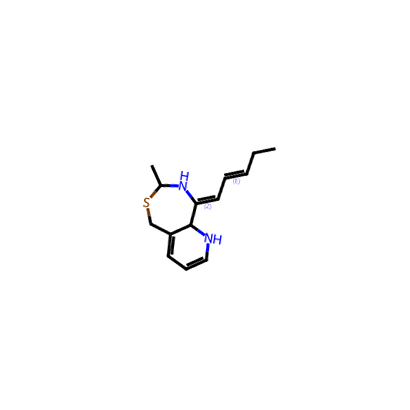 CC/C=C/C=C1\NC(C)SCC2=CC=CNC21